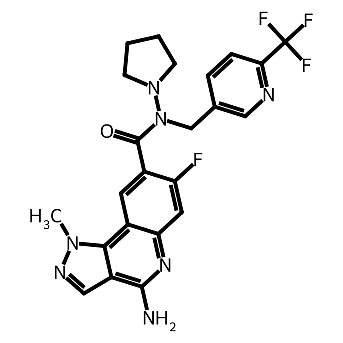 Cn1ncc2c(N)nc3cc(F)c(C(=O)N(Cc4ccc(C(F)(F)F)nc4)N4CCCC4)cc3c21